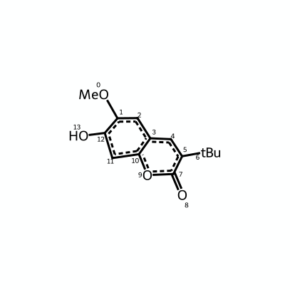 COc1cc2cc(C(C)(C)C)c(=O)oc2cc1O